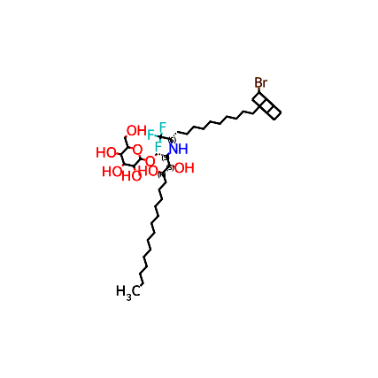 CCCCCCCCCCCCCC[C@@H](O)[C@@H](O)[C@H](COC1OC(CO)C(O)C(O)C1O)N[C@@H](CCCCCCCCCCC12C3C4C5C3C1C5(Br)C42)C(F)(F)F